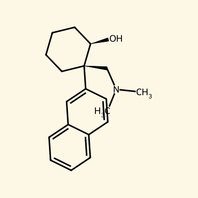 CN(C)C[C@@]1(c2ccc3ccccc3c2)CCCC[C@H]1O